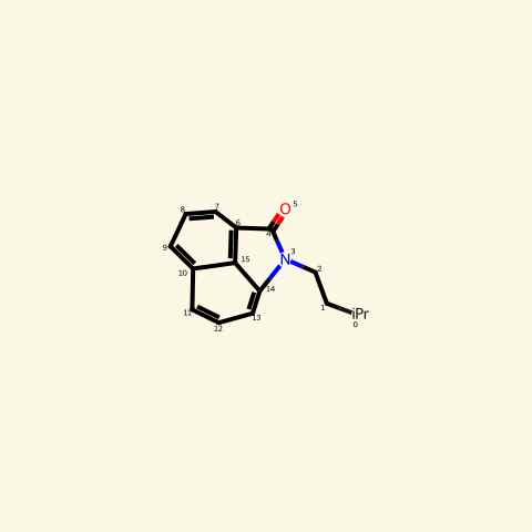 CC(C)CCN1C(=O)c2cccc3cccc1c23